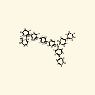 c1ccc(-c2ccc(N(c3ccc(-c4ccccc4)cc3)c3ccc(-c4ccc(-c5ccc(-c6cccc7oc8ccccc8c67)cc5)cc4)cc3)cc2)cc1